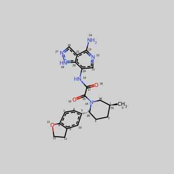 C[C@H]1CC[C@H](c2ccc3c(c2)CCO3)N(C(=O)C(=O)Nc2cnc(N)c3cn[nH]c23)C1